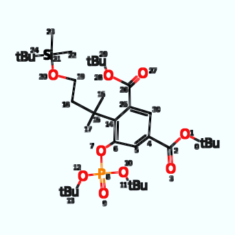 CC(C)(C)OC(=O)c1cc(OP(=O)(OC(C)(C)C)OC(C)(C)C)c(C(C)(C)CCO[Si](C)(C)C(C)(C)C)c(C(=O)OC(C)(C)C)c1